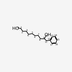 OCCCCCCCCC(O)Cc1ccccc1